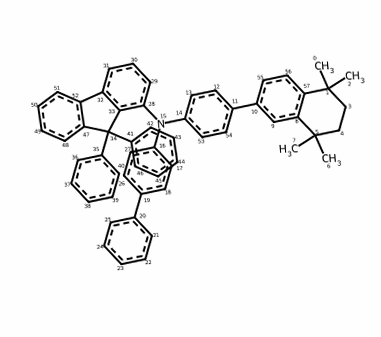 CC1(C)CCC(C)(C)c2cc(-c3ccc(N(c4ccc(-c5ccccc5)cc4)c4cccc5c4C(c4ccccc4)(c4ccccc4)c4ccccc4-5)cc3)ccc21